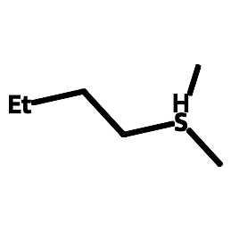 CCCC[SH](C)C